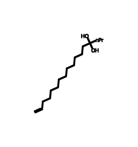 C=CCCCCCCCCCCCC(O)(O)CCC